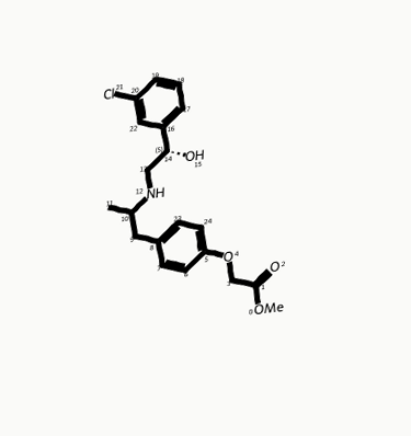 COC(=O)COc1ccc(CC(C)NC[C@@H](O)c2cccc(Cl)c2)cc1